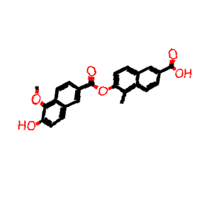 COc1c(O)ccc2cc(C(=O)Oc3ccc4cc(C(=O)O)ccc4c3C)ccc12